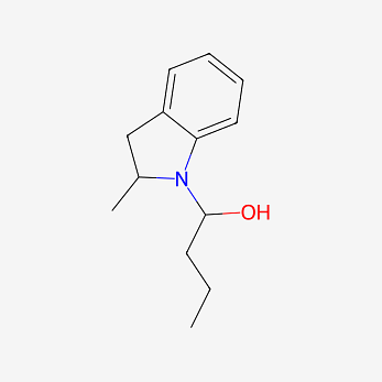 CCCC(O)N1c2ccccc2CC1C